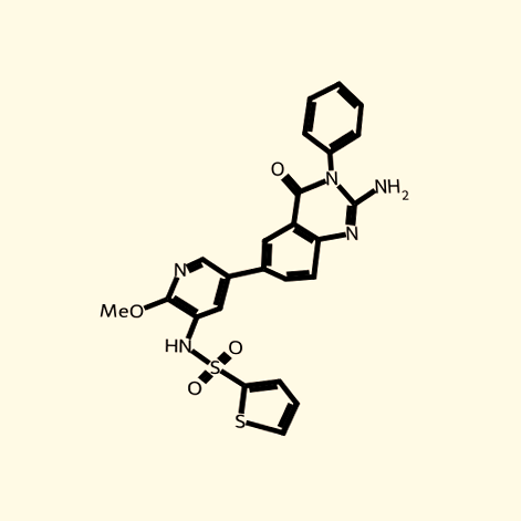 COc1ncc(-c2ccc3nc(N)n(-c4ccccc4)c(=O)c3c2)cc1NS(=O)(=O)c1cccs1